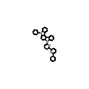 C1=CCC(c2cccc(C3=NC(n4c5ccccc5c5c6c7ccccc7n(-c7ccccc7)c6ccc54)=CCC3)n2)C=C1